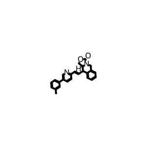 Cc1cccc(-c2ccc(/C=C/C3c4ccccc4CN4C(=O)OC[C@H]34)nc2)c1